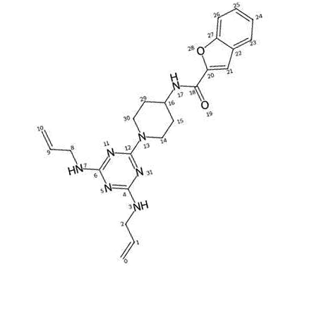 C=CCNc1nc(NCC=C)nc(N2CCC(NC(=O)c3cc4ccccc4o3)CC2)n1